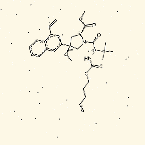 C=CCCCOC(=O)N[C@H](C(=O)N1C[C@](OC)(c2cc(C=C)c3ccccc3c2)C[C@H]1C(=O)OC)C(C)(C)C